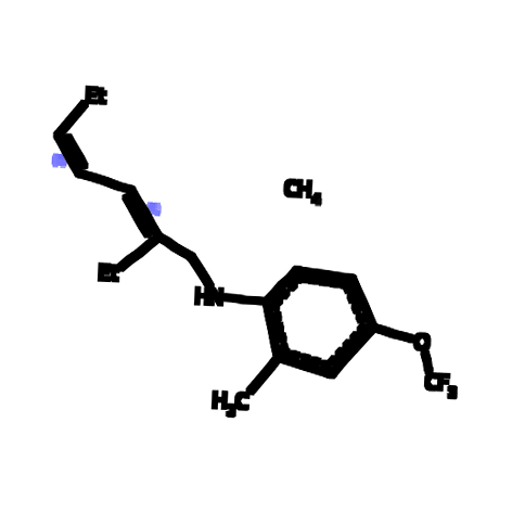 C.CC/C=C\C=C(/CC)CNc1ccc(OC(F)(F)F)cc1C